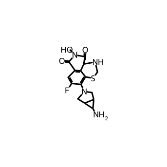 NC1C2CN(c3c(F)cc4c5c3SCNC5C(=O)N(O)C4=O)CC12